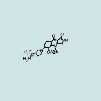 COc1c(N2CCC([C@H](C)N)C2)ccc2c(=O)c3c(=O)[nH]sc3n(C3CC3)c12